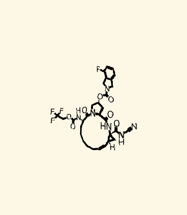 N#CNC(=O)[C@@]12C[C@H]1/C=C\CCCCC[C@H](NC(=O)OCC(F)(F)F)C(=O)N1C[C@H](OC(=O)N3Cc4cccc(F)c4C3)CC1C(=O)N2